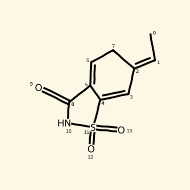 C/C=C1/C=C2C(=CC1)C(=O)NS2(=O)=O